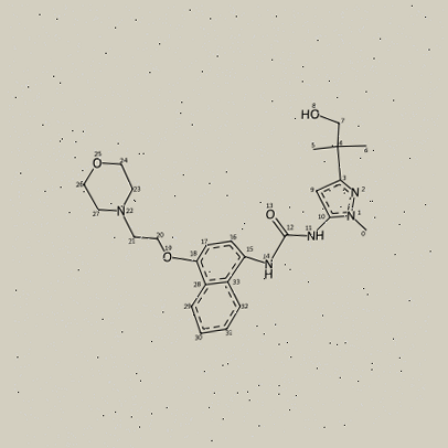 Cn1nc(C(C)(C)CO)cc1NC(=O)Nc1ccc(OCCN2CCOCC2)c2ccccc12